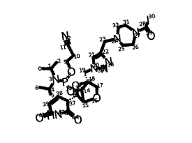 CC(C)N(C(C)C)P(OCCC#N)OC1C2OC[C@]1(Cn1cc(CN3CCN(C(=O)I)CC3)nn1)O[C@H]2C1C=CC(=O)NC1=O